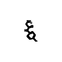 [CH2]c1ccc(NC(=O)CN)cc1